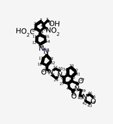 O=C(O)c1ccc(CO)c([N+](=O)[O-])c1-c1ccc(/N=N/c2ccc(C(=O)N3CCN(c4cc5c(c6ccccc46)C(=O)N(CCN4CCOCC4)C(=O)C5)CC3)cc2)cc1